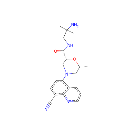 C[C@@H]1CN(c2ccc(C#N)c3ncccc23)C[C@H](C(=O)NCC(C)(C)N)O1